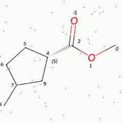 COC(=O)[C@H]1CCC(C)C1